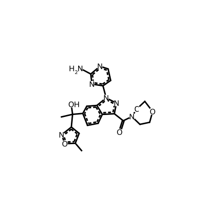 Cc1cc(C(C)(O)c2ccc3c(C(=O)N4CCOCC4)nn(-c4ccnc(N)n4)c3c2)no1